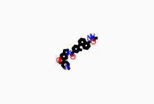 Cc1nnc(-c2cccc3c(-c4ccc(C(=O)N5CCc6cc7c(cc65)C5(CCN(C)CC5)CO7)cc4C)cccc23)o1